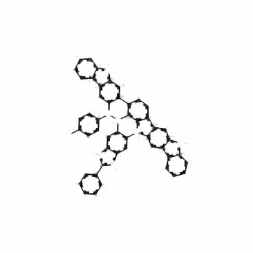 CC(C)(C)c1ccc(N2B3c4cc5nc(-c6ccccc6)sc5cc4-n4c5cc6c(cc5c5ccc(c3c54)-c3cc4oc5ccccc5c4cc32)sc2ccccc26)cc1